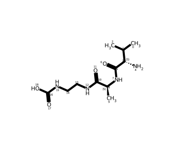 CC(C)[C@H](N)C(=O)N[C@@H](C)C(=O)NCCNC(=O)O